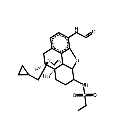 CCS(=O)(=O)NC1CC[C@@]2(O)[C@H]3Cc4ccc(NC=O)c5c4[C@@]2(CCN3CC2CC2)C1O5